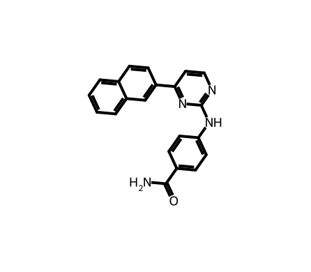 NC(=O)c1ccc(Nc2nccc(-c3ccc4ccccc4c3)n2)cc1